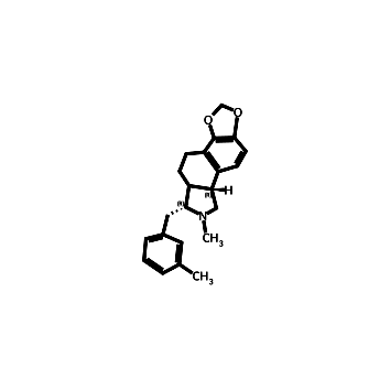 Cc1cccc(C[C@@H]2C3CCc4c(ccc5c4OCO5)[C@@H]3CN2C)c1